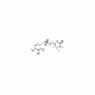 COc1ccc(CNC(=S)/C=C/c2cc(C)c(C)c(Br)c2)c(OC)c1OC